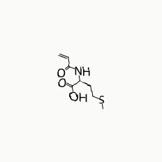 C=CC(=O)N[C@@H](CCSC)C(=O)O